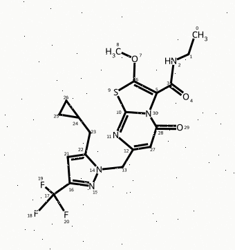 CCNC(=O)c1c(OC)sc2nc(Cn3nc(C(F)(F)F)cc3CC3CC3)cc(=O)n12